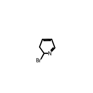 BrC1CC=CC=N1